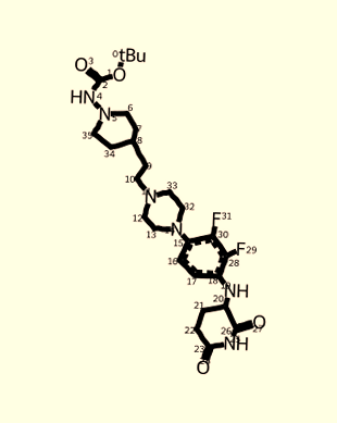 CC(C)(C)OC(=O)NN1CCC(CCN2CCN(c3ccc(NC4CCC(=O)NC4=O)c(F)c3F)CC2)CC1